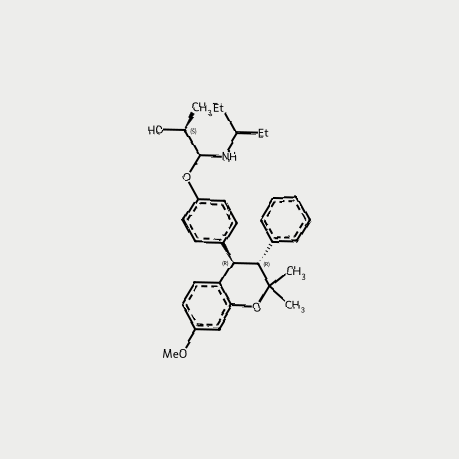 CCC(CC)NC(Oc1ccc([C@@H]2c3ccc(OC)cc3OC(C)(C)[C@H]2c2ccccc2)cc1)[C@H](C)O